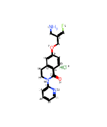 Cl.NC/C(=C\F)COc1ccc2c(c1)CCN(c1ccccn1)C2=O